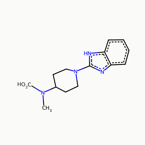 CN(C(=O)O)C1CCN(c2nc3ccccc3[nH]2)CC1